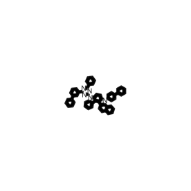 c1ccc(-c2ccc(-n3c4ccc5c(c6ccccc6n5-c5nc(-c6ccccc6)nc(-c6cccc(-c7ccccc7)c6)n5)c4c4ccc5ccccc5c43)cc2)cc1